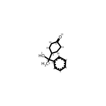 CC(O)(c1ccccc1)C1CCC(=O)CC1